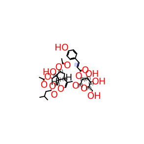 CC(=O)OC[C@]1(O)[C@H]2[C@H](OC(=O)CC(C)C)OC=C(CO[C@@H]3O[C@H](CO)[C@@H](O)[C@H](O)[C@H]3OC(=O)/C=C/c3ccc(O)cc3)[C@H]2C[C@@H]1OC(C)=O